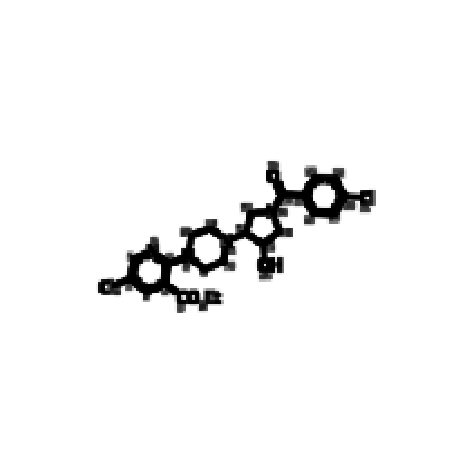 CCOC(=O)c1cc(Cl)cnc1N1CCN(C2CN(C(=O)c3ccc(Cl)cc3)CC2O)CC1